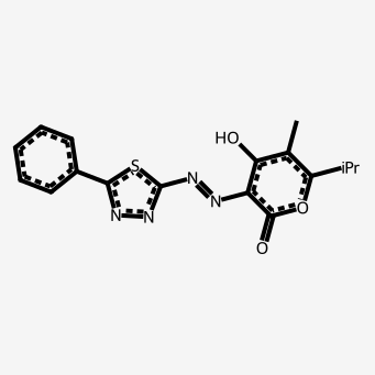 Cc1c(C(C)C)oc(=O)c(N=Nc2nnc(-c3ccccc3)s2)c1O